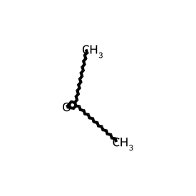 CCCCCCCCCCCCCCCCCCC1CC2OC2CC1CCCCCCCCCCCCCCCCCC